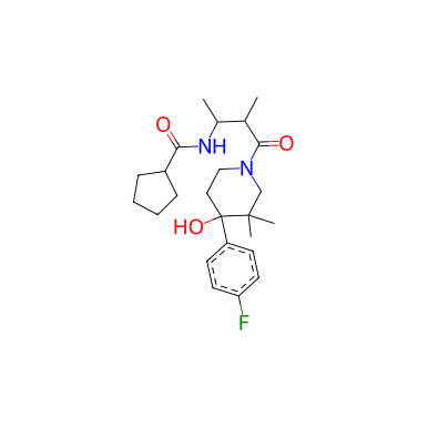 CC(NC(=O)C1CCCC1)C(C)C(=O)N1CCC(O)(c2ccc(F)cc2)C(C)(C)C1